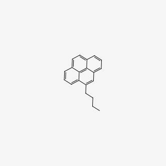 CCCCc1cc2cccc3ccc4cccc1c4c32